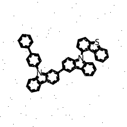 c1ccc(-c2ccc(-n3c4ccccc4c4ccc(-c5ccc6c(c5)c5ccccc5n6-c5cccc6sc7ccccc7c56)cc43)cc2)cc1